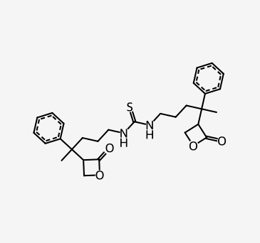 CC(CCCNC(=S)NCCCC(C)(c1ccccc1)C1COC1=O)(c1ccccc1)C1COC1=O